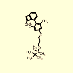 Cc1cc(OCCCO[Si](C)(C)C(C)(C)C)cc(C)c1-c1cccc2c1C(O)=C2